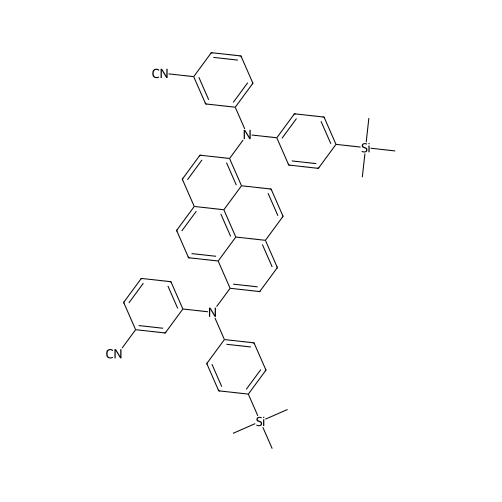 [C-]#[N+]c1cccc(N(c2ccc([Si](C)(C)C)cc2)c2ccc3ccc4c(N(c5ccc([Si](C)(C)C)cc5)c5cccc([N+]#[C-])c5)ccc5ccc2c3c54)c1